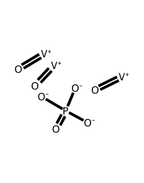 O=P([O-])([O-])[O-].[O]=[V+].[O]=[V+].[O]=[V+]